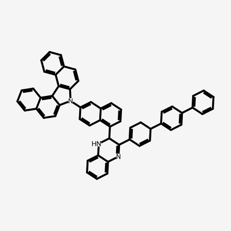 C1=CC(c2ccc(-c3ccccc3)cc2)CC=C1C1=Nc2ccccc2NC1c1cccc2cc(-n3c4ccc5ccccc5c4c4c5ccccc5ccc43)ccc12